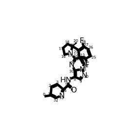 Cc1ccc(C(=O)Nc2cnn3ccc(N4CCC[C@]4(C)c4cc(F)ccc4F)nc23)nc1